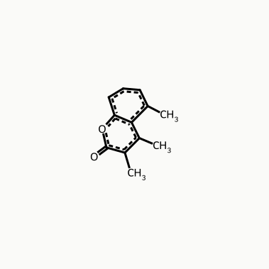 Cc1c(C)c2c(C)cccc2oc1=O